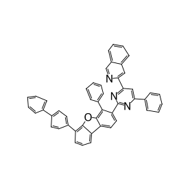 c1ccc(-c2ccc(-c3cccc4c3oc3c(-c5ccccc5)c(-c5nc(-c6ccccc6)cc(-c6cc7ccccc7cn6)n5)ccc34)cc2)cc1